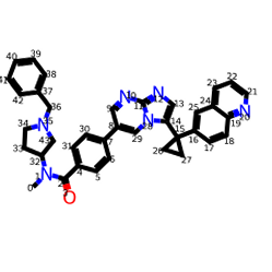 CN(C(=O)c1ccc(-c2cnc3ncc(C4(c5ccc6ncccc6c5)CC4)n3c2)cc1)C1CCN(Cc2ccccc2)C1